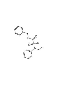 CCC(c1ccccc1)S(=O)(=O)C(=O)OCc1ccccc1